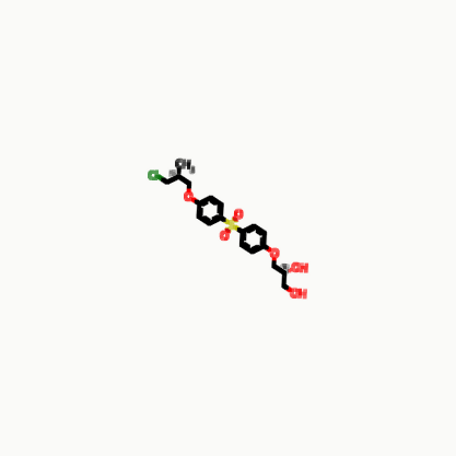 C[C@H](CCl)COc1ccc(S(=O)(=O)c2ccc(OC[C@H](O)CO)cc2)cc1